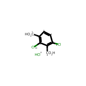 Cl.O=C(O)c1ccc(Cl)c(C(=O)O)c1Cl